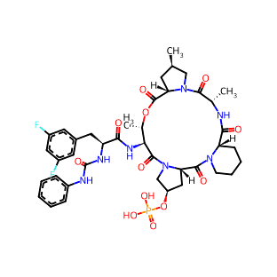 C[C@@H]1C[C@H]2C(=O)O[C@@H](C)[C@H](NC(=O)[C@H](Cc3cc(F)cc(F)c3)NC(=O)Nc3ccccc3)C(=O)N3C[C@H](OP(=O)(O)O)C[C@H]3C(=O)N3CCCC[C@H]3C(=O)N[C@@H](C)C(=O)N2C1